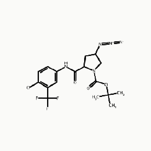 CC(C)(C)OC(=O)N1CC(N=[N+]=[N-])CC1C(=O)Nc1ccc(Cl)c(C(F)(F)F)c1